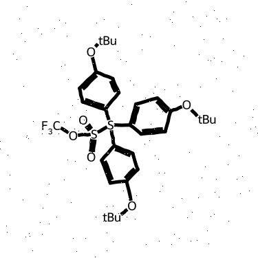 CC(C)(C)Oc1ccc(S(c2ccc(OC(C)(C)C)cc2)(c2ccc(OC(C)(C)C)cc2)S(=O)(=O)OC(F)(F)F)cc1